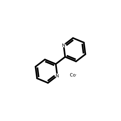 [Co].c1ccc(-c2ccccn2)nc1